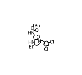 CCC1CCN(Cc2cc(Cl)cc(Cl)c2)C(=O)[C@H](CCNC(=O)OC(C)(C)C)N1